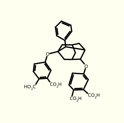 O=C(O)c1ccc(OC2C3CC4CC2C(c2ccccc2)C(Oc2ccc(C(=O)O)c(C(=O)O)c2)(C4)C3)cc1C(=O)O